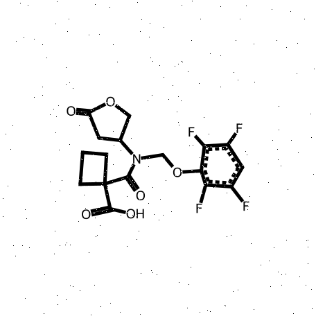 O=C1CC(N(COc2c(F)c(F)cc(F)c2F)C(=O)C2(C(=O)O)CCC2)CO1